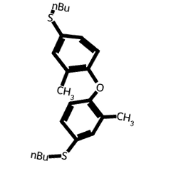 CCCCSc1ccc(Oc2ccc(SCCCC)cc2C)c(C)c1